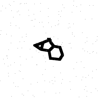 C1CCC2C(C1)[N]C1CC12